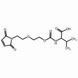 CC(C)C(NC(=O)OCCOCCN1C(=O)C=CC1=O)C(=O)O